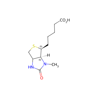 CN1C(=O)NC2CS[C@@H](CCCCC(=O)O)[C@H]21